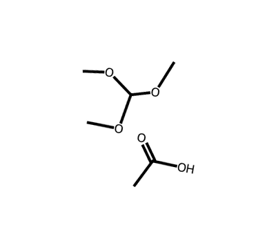 CC(=O)O.COC(OC)OC